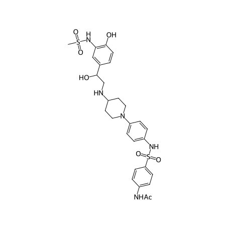 CC(=O)Nc1ccc(S(=O)(=O)Nc2ccc(N3CCC(NCC(O)c4ccc(O)c(NS(C)(=O)=O)c4)CC3)cc2)cc1